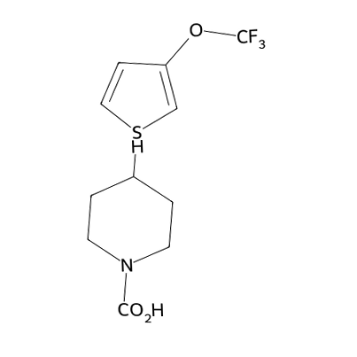 O=C(O)N1CCC([SH]2C=CC(OC(F)(F)F)=C2)CC1